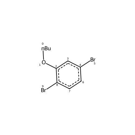 CCCCOc1cc(Br)ccc1Br